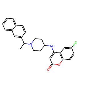 CC(c1ccc2ccccc2c1)N1CCC(Nc2cc(=O)oc3ccc(Cl)cc23)CC1